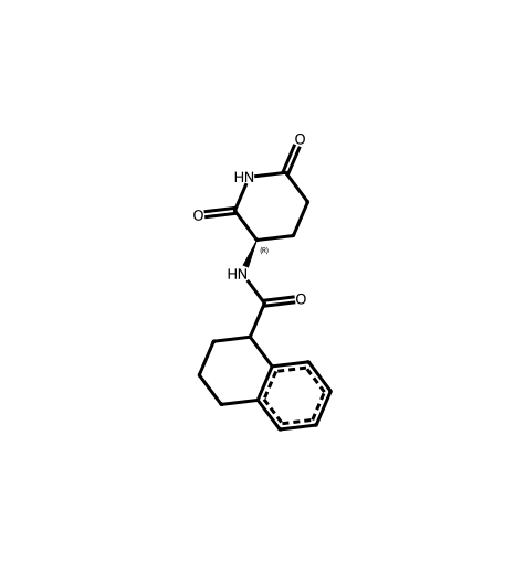 O=C1CC[C@@H](NC(=O)C2CCCc3ccccc32)C(=O)N1